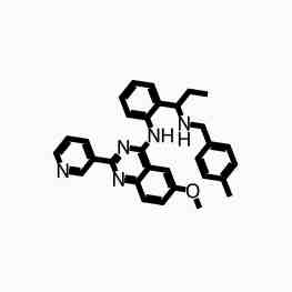 CCC(NCc1ccc(C)cc1)c1ccccc1Nc1nc(-c2cccnc2)nc2ccc(OC)cc12